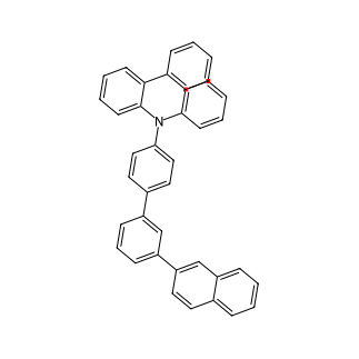 c1ccc(-c2ccccc2N(c2ccccc2)c2ccc(-c3cccc(-c4ccc5ccccc5c4)c3)cc2)cc1